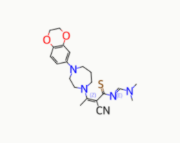 C/C(=C(\C#N)C(=S)/N=C/N(C)C)N1CCCN(c2ccc3c(c2)OCCO3)CC1